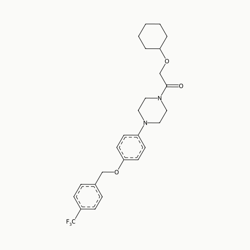 O=C(COC1CCCCC1)N1CCN(c2ccc(OCc3ccc(C(F)(F)F)cc3)cc2)CC1